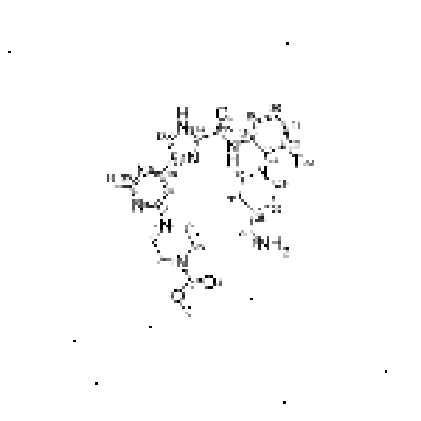 COC(=O)N1CCN(c2cc(-c3c[nH]c(C(=O)Nc4cccc(F)c4N4CCC(CN)CC4)n3)nc(C)n2)CC1